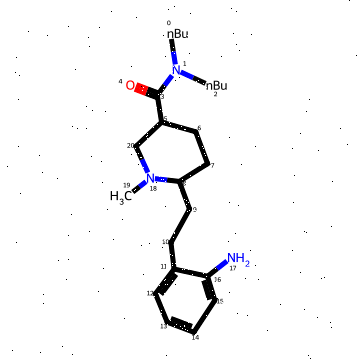 CCCCN(CCCC)C(=O)C1CCC(CCc2ccccc2N)N(C)C1